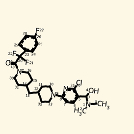 CN(C)C(O)c1ccc(N2CCC(CC3CCN(C(=O)C(F)(F)c4ccc(F)cc4)CC3)CC2)nc1Cl